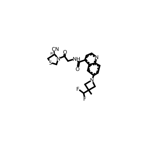 CC1(C(F)F)CN(c2ccc3nccc(C(=O)NCC(=O)N4CSC[C@H]4C#N)c3c2)C1